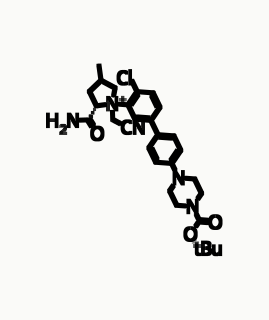 CC1C[C@@H](C(N)=O)[N+](CC#N)(c2cc(-c3ccc(N4CCN(C(=O)OC(C)(C)C)CC4)cc3)ccc2Cl)C1